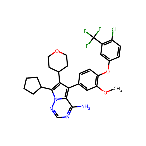 COc1cc(-c2c(C3CCOCC3)c(C3CCCC3)n3ncnc(N)c23)ccc1Oc1ccc(Cl)c(C(F)(F)F)c1